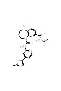 CCN1CCCN(C(=O)Nc2cc(-c3cnc(C)s3)ccn2)c2nc(C(=O)N[C@H](C)C(F)(F)F)ccc21